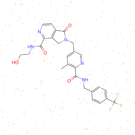 Cc1cc(CN2Cc3c(ccnc3C(=O)NCCO)C2=O)cnc1C(=O)NCc1ccc(C(F)(F)F)cc1